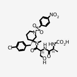 C[C@H](NC(=O)O)C(=O)N[C@@H](CO)C(=O)N(C)[C@@]1(Cc2ccc(Cl)cc2)CCCN(S(=O)(=O)c2ccc([N+](=O)[O-])cc2)C1